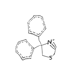 C1#[N+]C(c2ccccc2)(c2ccccc2)CS1